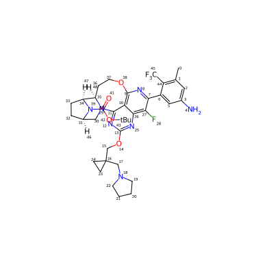 Cc1cc(N)cc(-c2nc3c4c(nc(OCC5(CN6CCCC6)CC5)nc4c2F)N2C[C@H]4CC[C@@H]([C@H]2CCO3)N4C(=O)OC(C)(C)C)c1C(F)(F)F